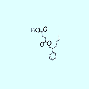 CCCCC(COC(=O)CCC(=O)O)c1ccccc1